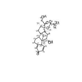 CCNC(=O)O[C@@]1(C(=O)CO)[C@@H](C)CC2C3CCC4=CC(=O)C=C[C@]4(C)C3(F)[C@@H](O)C[C@@]21C